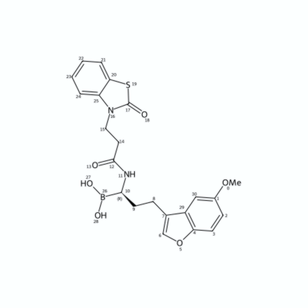 COc1ccc2occ(CC[C@H](NC(=O)CCn3c(=O)sc4ccccc43)B(O)O)c2c1